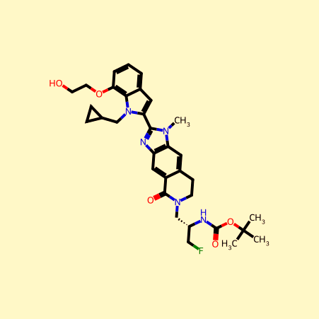 Cn1c(-c2cc3cccc(OCCO)c3n2CC2CC2)nc2cc3c(cc21)CCN(C[C@@H](CF)NC(=O)OC(C)(C)C)C3=O